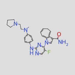 CN(CCN1CCCC1)c1ccc(Nc2ncc(F)c(-n3cc(C(N)=O)c4c3=CC=CCC=4)n2)cc1